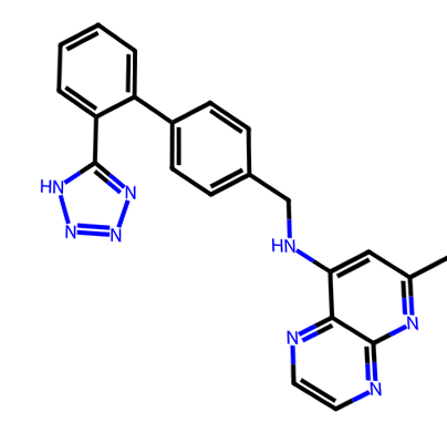 Cc1cc(NCc2ccc(-c3ccccc3-c3nnn[nH]3)cc2)c2nccnc2n1